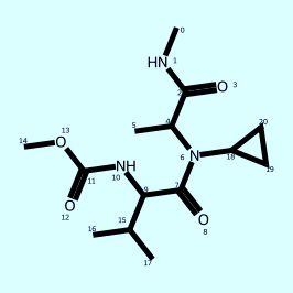 CNC(=O)C(C)N(C(=O)C(NC(=O)OC)C(C)C)C1CC1